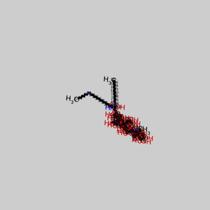 CCCCCCCC/C=C\CCCCCCCCCCCCCC(=O)N[C@@H](CO[C@@H]1OC(CO)[C@@H](O[C@@H]2OC(CO)[C@H](O)[C@H](O[C@@H]3OC(CO)[C@@H](O[C@@H]4OC(CO)[C@H](O)[C@H](O[C@@H]5OC(CO)[C@@H](O[C@@H]6OC(CO)[C@H](O)[C@H](O)C6O)[C@H](O)C5NC(C)=O)C4O)[C@H](O[C@H]4OC(C)[C@@H](O)C(O)[C@@H]4O)C3NC(C)=O)C2O)[C@H](O)C1O)[C@H](O)/C=C/CCCCCCCCCCCCC